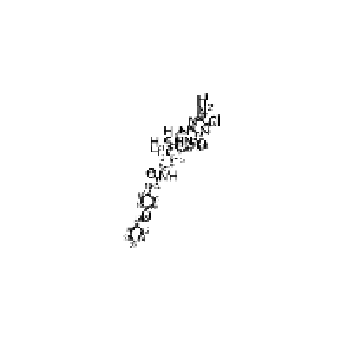 C[N+](C)(C)[C@@H](CCCCNC(=O)CCc1ccc(OCc2ccccc2)cc1)CNC(=O)c1nc(Cl)c(N)nc1N